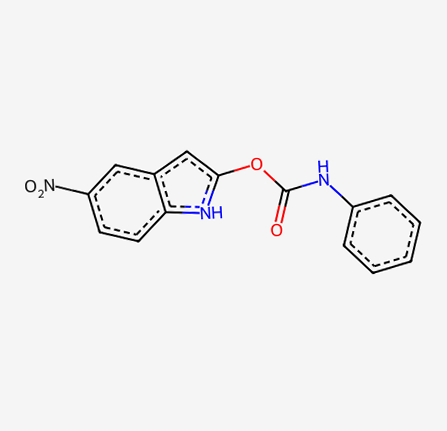 O=C(Nc1ccccc1)Oc1cc2cc([N+](=O)[O-])ccc2[nH]1